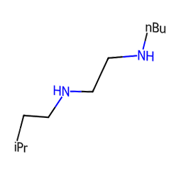 CCCCNCCNCCC(C)C